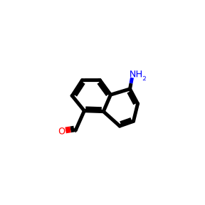 Nc1cccc2c([C]=O)cccc12